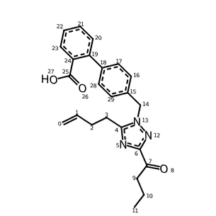 C=CCCc1nc(C(=O)CCC)nn1Cc1ccc(-c2ccccc2C(=O)O)cc1